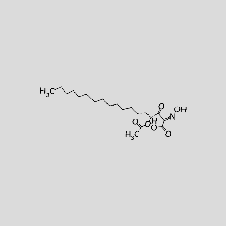 CCCCCCCCCCCCCCC(OC(C)=O)C(=O)/C(=N\O)C(=O)O